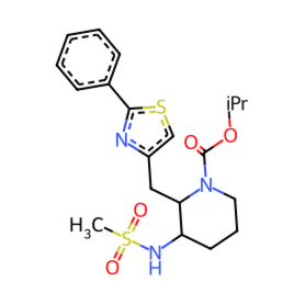 CC(C)OC(=O)N1CCCC(NS(C)(=O)=O)C1Cc1csc(-c2ccccc2)n1